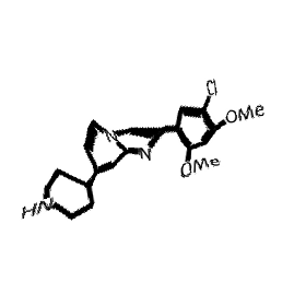 COc1cc(OC)c(-c2cn3ccc(C4CCNCC4)cc3n2)cc1Cl